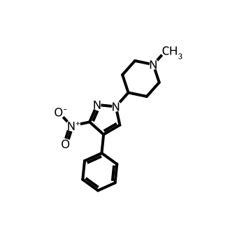 CN1CCC(n2cc(-c3ccccc3)c([N+](=O)[O-])n2)CC1